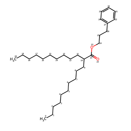 CCCCCCCCCCC(CCCCCCCCCC)C(=O)OCCCc1ccccc1